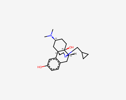 CN(C)[C@H]1CC[C@]2(O)[C@@H]3Cc4ccc(O)cc4[C@]2(CCN3CC2CC2)C1